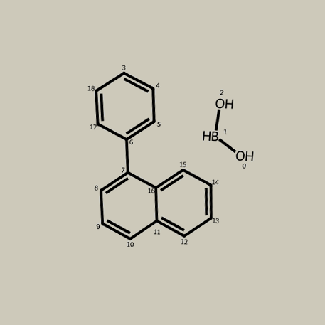 OBO.c1ccc(-c2cccc3ccccc23)cc1